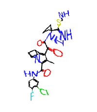 Cc1c(C(=O)C(=O)NC2(C(=N)SC=N)CC2)c2n(c1C(=O)Nc1ccc(F)c(Cl)c1)C1CC2C1